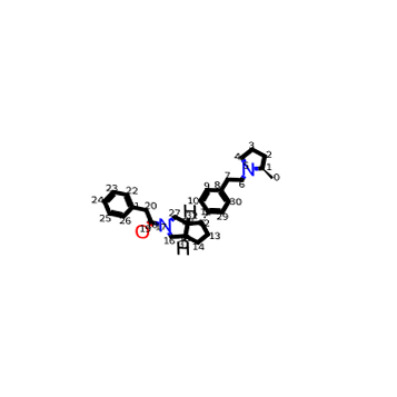 C[C@@H]1CCCN1CCc1ccc([C@@H]2CC[C@@H]3CN(C(=O)Cc4ccccc4)C[C@@H]32)cc1